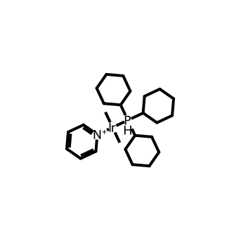 [CH3][Ir]([CH3])([n+]1ccccc1)[PH](C1CCCCC1)(C1CCCCC1)C1CCCCC1